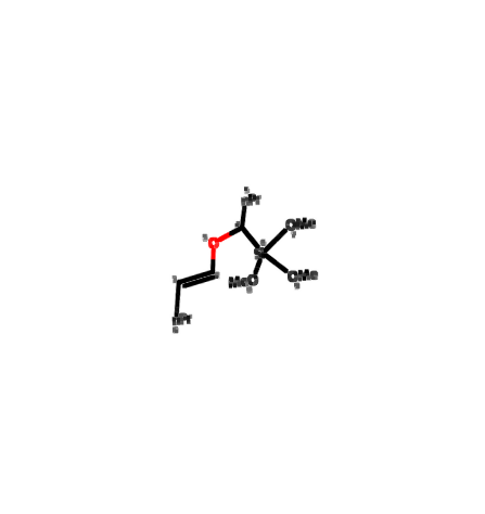 CCCC=COC(CCC)[Si](OC)(OC)OC